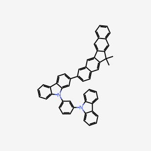 CC1(C)c2cc3ccccc3cc2-c2cc3cc(-c4ccc5c6ccccc6n(-c6cccc(-n7c8ccccc8c8ccccc87)c6)c5c4)ccc3cc21